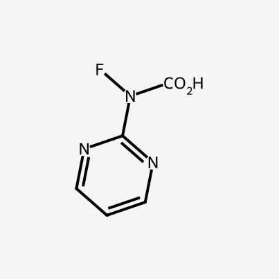 O=C(O)N(F)c1ncccn1